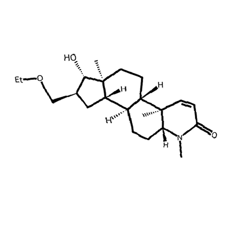 CCOC[C@@H]1C[C@H]2[C@@H]3CC[C@H]4N(C)C(=O)C=C[C@]4(C)[C@H]3CC[C@]2(C)[C@H]1O